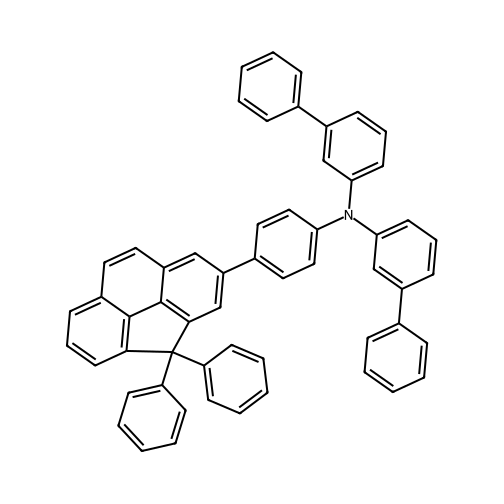 c1ccc(-c2cccc(N(c3ccc(-c4cc5c6c(ccc7cccc(c76)C5(c5ccccc5)c5ccccc5)c4)cc3)c3cccc(-c4ccccc4)c3)c2)cc1